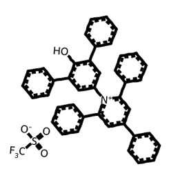 O=S(=O)([O-])C(F)(F)F.Oc1c(-c2ccccc2)cc(-[n+]2c(-c3ccccc3)cc(-c3ccccc3)cc2-c2ccccc2)cc1-c1ccccc1